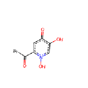 CC(C)C(=O)c1cc(=O)c(O)cn1O